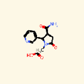 CN1C(=O)CC(C(N)=O)C1c1cccnc1.O=CO